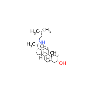 CC(C)CCN[C@@H](C)[C@H]1CC[C@H]2[C@@H]3CC=C4C[C@@H](O)CC[C@@]4(C)[C@H]3CC[C@]12C